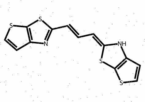 C(=Cc1nc2ccsc2s1)C=C1Nc2ccsc2S1